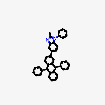 Cc1nc2cc(-c3ccc4c(-c5ccccc5)c5ccccc5c(-c5ccccc5)c4c3)ccc2n1-c1ccccc1